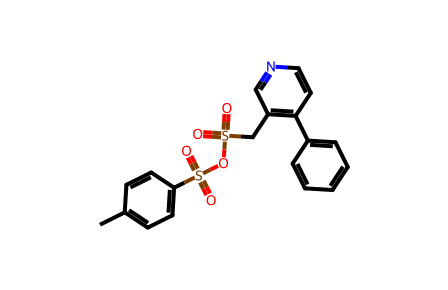 Cc1ccc(S(=O)(=O)OS(=O)(=O)Cc2cnccc2-c2ccccc2)cc1